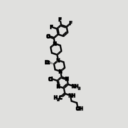 C=C(NCCO)c1nc(Cl)c(N2CCN(C3CCN(C(=O)c4ccc(F)c(F)c4F)CC3)[C@@H](CC)C2)nc1N